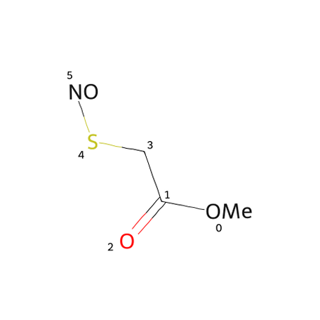 COC(=O)CSN=O